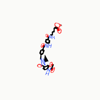 COC(=O)CCCCCNC(=O)c1ccc(NC(=O)c2ccc(CN(C(=O)c3ccc4c(c3)OCC(=O)N4)C3CC3)cc2)cc1